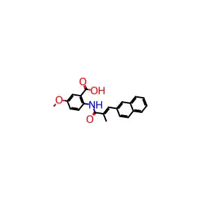 COc1ccc(NC(=O)/C(C)=C/c2ccc3ccccc3c2)c(C(=O)O)c1